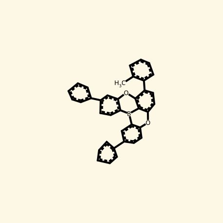 Cc1ccccc1-c1ccc2c3c1Oc1cc(-c4ccccc4)ccc1B3c1cc(-c3ccccc3)ccc1O2